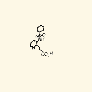 O=C(O)CCCc1ncccc1NS(=O)(=O)c1ccccc1